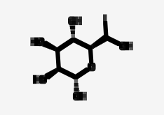 OC(I)[C@H]1O[C@H](O)[C@@H](O)[C@@H](O)[C@@H]1O